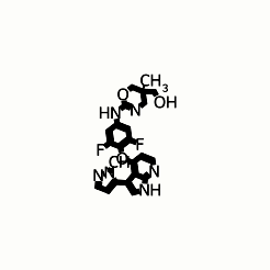 Cn1nccc1-c1c[nH]c2nccc(Oc3c(F)cc(NC4=NC[C@](C)(CO)CO4)cc3F)c12